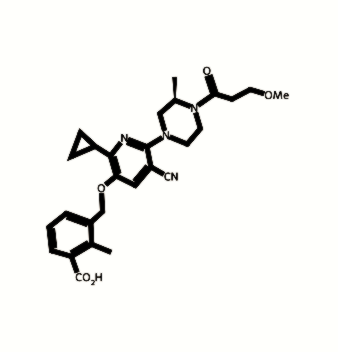 COCCC(=O)N1CCN(c2nc(C3CC3)c(OCc3cccc(C(=O)O)c3C)cc2C#N)C[C@H]1C